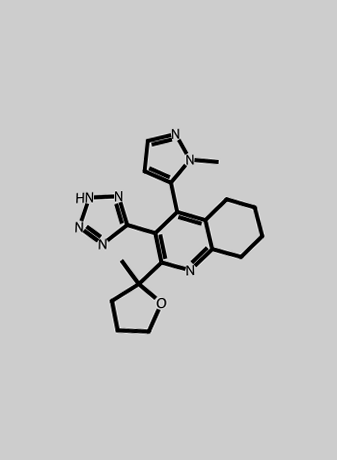 Cn1nccc1-c1c2c(nc(C3(C)CCCO3)c1-c1nn[nH]n1)CCCC2